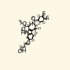 CCOC(=O)C1=CN(C(=O)c2ccc(F)c(F)c2)CC(C)(C)c2c1[nH]c1cc(OCCCO)ccc21